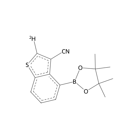 [2H]c1sc2cccc(B3OC(C)(C)C(C)(C)O3)c2c1C#N